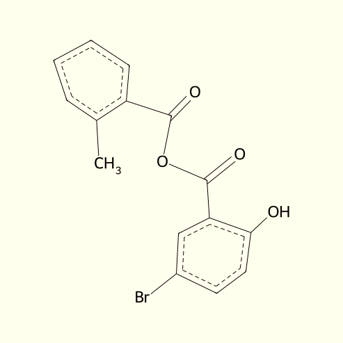 Cc1ccccc1C(=O)OC(=O)c1cc(Br)ccc1O